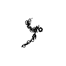 CCOCCOCCOc1ccc(-c2nc(NC(=O)c3ccc([N+](=O)[O-])s3)c3cnn(C4CCCCC4)c3n2)cn1